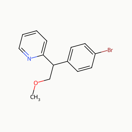 COCC(c1ccc(Br)cc1)c1ccccn1